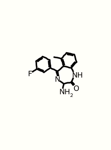 Cc1cccc2c1C(c1cccc(F)c1)=NC(N)C(=O)N2